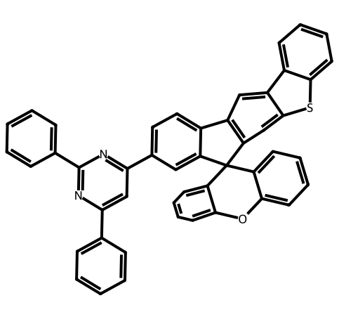 c1ccc(-c2cc(-c3ccc4c(c3)C3(c5ccccc5Oc5ccccc53)c3cc5sc6ccccc6c5cc3-4)nc(-c3ccccc3)n2)cc1